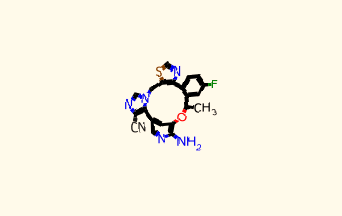 CC1Oc2cc(cnc2N)-c2c(C#N)ncn2Cc2scnc2-c2ccc(F)cc21